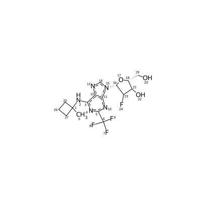 CC1(Nc2nc(C(F)(F)F)nc3c2ncn3[C@@H]2O[C@H](CO)C(O)C2F)CCC1